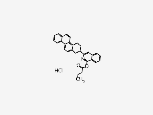 CCCC(=O)Oc1nc(C2CCc3c(ccc4c3ccc3ccccc34)C2)cc2ccccc12.Cl